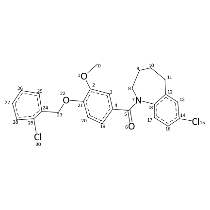 COc1cc(C(=O)N2CCCCc3cc(Cl)ccc32)ccc1OCc1ccccc1Cl